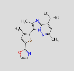 CCC(CC)c1cc(C)nn2c(-c3sc(-c4ncco4)cc3C)c(C)nc12